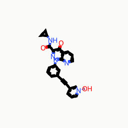 O=C(NC1CC1)c1nn(-c2cccc(C#Cc3ccc[n+](O)c3)c2)c2ncccc2c1=O